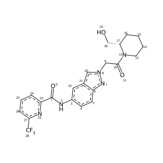 O=C(Nc1ccc2nn(CC(=O)N3CCCC[C@H]3CO)cc2c1)c1cccc(C(F)(F)F)n1